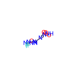 CC(C)(C(=O)Nc1cnc(C#N)c(C(F)(F)F)c1)n1cc(C#CC2CN(c3ccc4c(c3)CC(=O)N4C3CCC(=O)NC3=O)C2)cn1